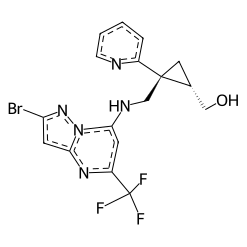 OC[C@H]1C[C@@]1(CNc1cc(C(F)(F)F)nc2cc(Br)nn12)c1ccccn1